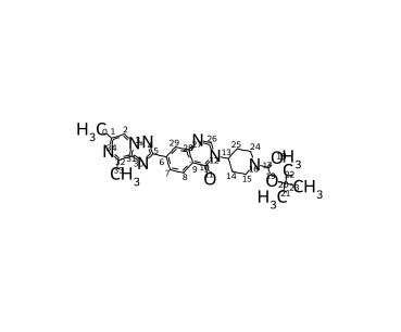 Cc1cn2nc(-c3ccc4c(=O)n(C5CCN(C(=O)OC(C)(C)C)CC5)cnc4c3)nc2c(C)n1